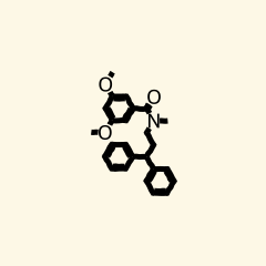 COc1cc(OC)cc(C(=O)N(C)CCC(c2ccccc2)c2ccccc2)c1